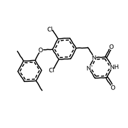 Cc1ccc(C)c(Oc2c(Cl)cc(Cn3ncc(=O)[nH]c3=O)cc2Cl)c1